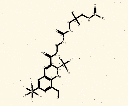 CCc1cc(S(F)(F)(F)(F)F)cc2c1O[C@H](C(F)(F)F)C(C(=O)OCOC(=O)OCC(C)(C)CO[N+](=O)[O-])=C2